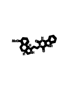 COc1cccc2c1CC[C@@H]1CNC(CCn3c(=O)[nH]c4c([nH]c5ccccc54)c3=O)[C@@H]21